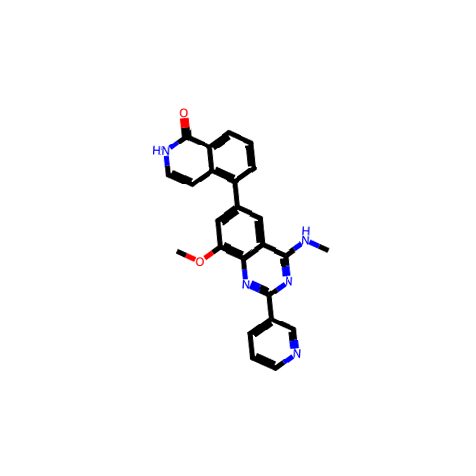 CNc1nc(-c2cccnc2)nc2c(OC)cc(-c3cccc4c(=O)[nH]ccc34)cc12